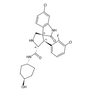 O=C(N[C@H]1CC[C@H](O)CC1)[C@@H]1NC[C@@]2(C(=O)Nc3cc(Cl)ccc32)[C@H]1c1cccc(Cl)c1F